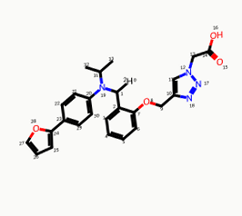 [2H]C(c1ccccc1OCc1cn(CC(=O)O)nn1)N(c1ccc(-c2ccco2)cc1)C(C)C